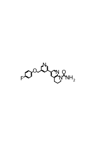 NC(=O)N1CCCc2cc(-c3cncc(COc4ccc(F)cc4)c3)cnc21